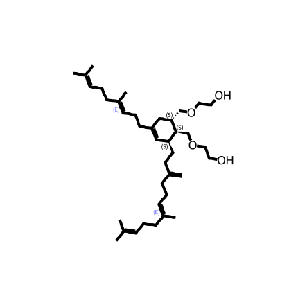 C=C(CC/C=C(\C)CCC=C(C)C)CC[C@H]1C=C(CC/C=C(\C)CCC=C(C)C)C[C@H](COCCO)[C@H]1COCCO